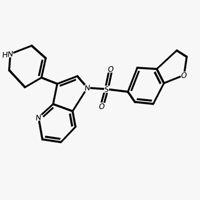 O=S(=O)(c1ccc2c(c1)CCO2)n1cc(C2=CCNCC2)c2ncccc21